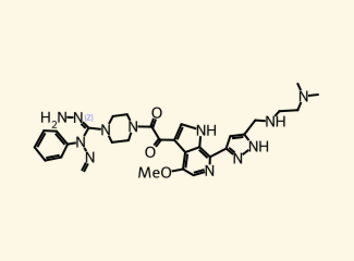 C=NN(/C(=N\N)N1CCN(C(=O)C(=O)c2c[nH]c3c(-c4cc(CNCCN(C)C)[nH]n4)ncc(OC)c23)CC1)c1ccccc1